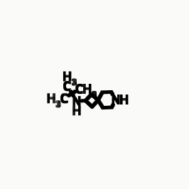 CC(C)(C)NC1CC2(CCNCC2)C1